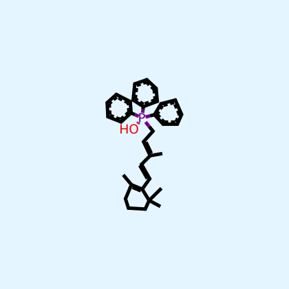 CC1=C(/C=C/C(C)=C/CP(O)(c2ccccc2)(c2ccccc2)c2ccccc2)C(C)(C)CCC1